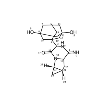 N=C1NC(C23CC4CC(O)(CC(O)(C4)C2)C3)C(=O)N2C1C[C@@H]1C[C@@H]12